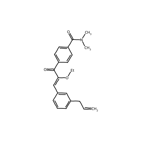 C=CCc1cccc(C=C(OCC)C(=O)c2ccc(C(=O)N(C)C)cc2)c1